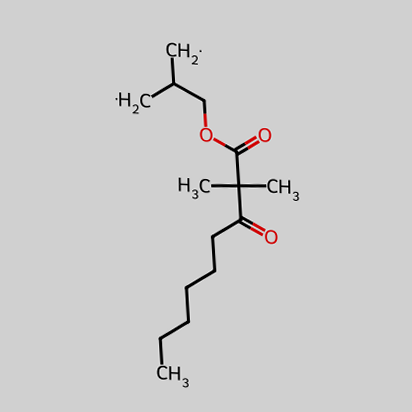 [CH2]C([CH2])COC(=O)C(C)(C)C(=O)CCCCCC